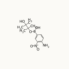 CC(C)(O)C(C)(C)OB(O)c1ccc(N)c([N+](=O)[O-])c1